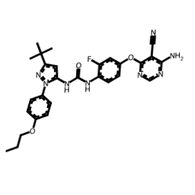 CCCOc1ccc(-n2nc(C(C)(C)C)cc2NC(=O)Nc2ccc(Oc3ncnc(N)c3C#N)cc2F)cc1